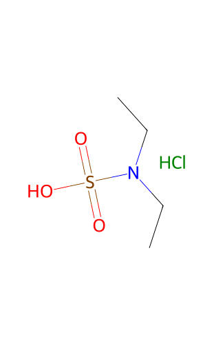 CCN(CC)S(=O)(=O)O.Cl